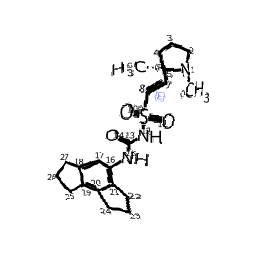 CN1CCC[C@]1(C)/C=C/S(=O)(=O)NC(=O)Nc1cc2c(c3c1CCC3)CCC2